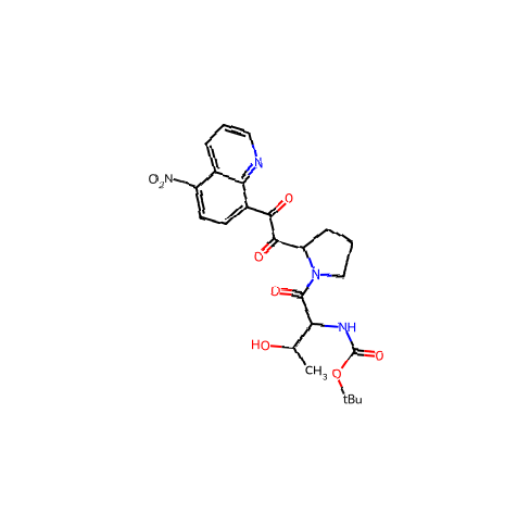 CC(O)C(NC(=O)OC(C)(C)C)C(=O)N1CCCC1C(=O)C(=O)c1ccc([N+](=O)[O-])c2cccnc12